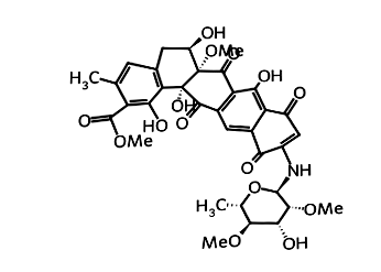 COC(=O)c1c(C)cc2c(c1O)[C@]1(O)C(=O)c3cc4c(c(O)c3C(=O)[C@]1(OC)[C@H](O)C2)C(=O)C=C(N[C@@H]1O[C@@H](C)[C@H](OC)[C@@H](O)[C@H]1OC)C4=O